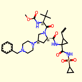 C=CC1CC1(NC(=O)[C@@H]1C[C@@H](N2CCN(Cc3ccccc3)CC2)CN1C(=O)[C@@H](NC(=O)OC)C(C)(C)C)C(=O)NS(=O)(=O)C1CC1